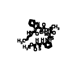 CCCCNC(=O)n1c(N(C)C(=O)O)nc2ccccc21.COC(=O)NC(=S)Nc1ccccc1NC(=S)NC(=O)OC